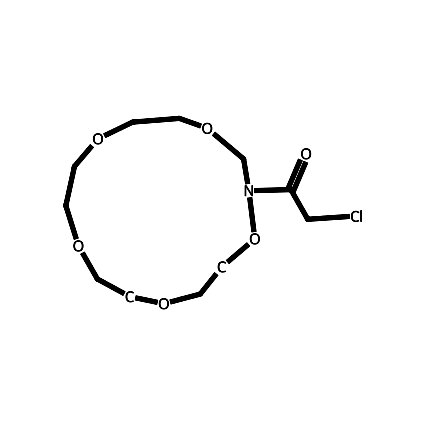 O=C(CCl)N1COCCOCCOCCOCCO1